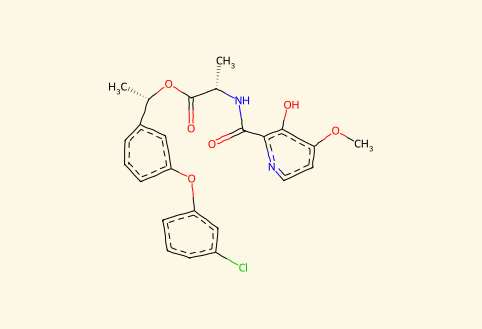 COc1ccnc(C(=O)N[C@@H](C)C(=O)O[C@@H](C)c2cccc(Oc3cccc(Cl)c3)c2)c1O